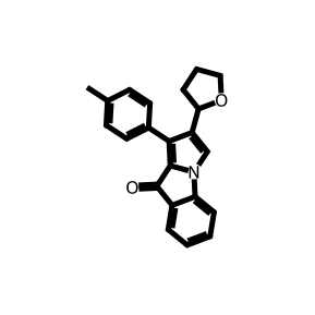 Cc1ccc(-c2c(C3CCCO3)cn3c2C(=O)c2ccccc2-3)cc1